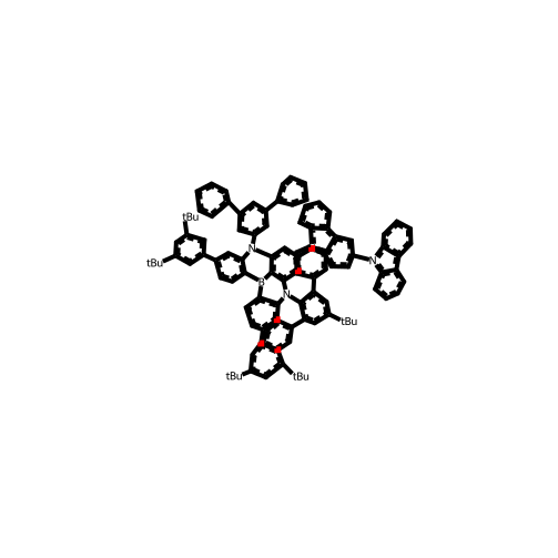 CC(C)(C)c1cc(-c2ccc3c(c2)N(c2cc(-c4ccccc4)cc(-c4ccccc4)c2)c2cc(-n4c5ccccc5c5cc(-n6c7ccccc7c7ccccc76)ccc54)cc4c2B3c2ccc(-c3cc(C(C)(C)C)cc(C(C)(C)C)c3)cc2N4c2c(-c3ccccc3)cc(C(C)(C)C)cc2-c2ccccc2)cc(C(C)(C)C)c1